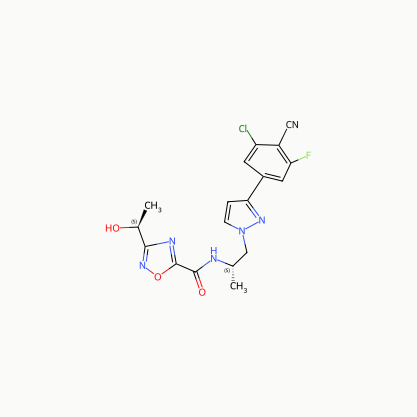 C[C@H](O)c1noc(C(=O)N[C@@H](C)Cn2ccc(-c3cc(F)c(C#N)c(Cl)c3)n2)n1